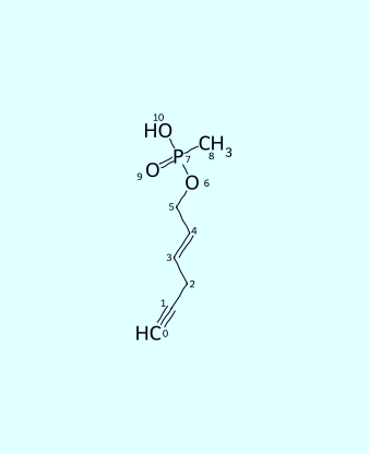 C#CCC=CCOP(C)(=O)O